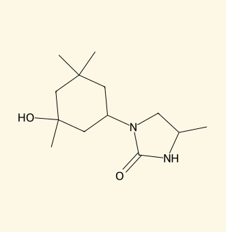 CC1CN(C2CC(C)(C)CC(C)(O)C2)C(=O)N1